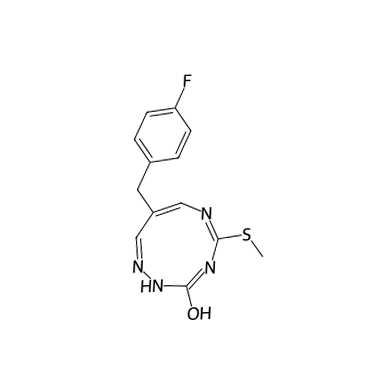 CSc1ncc(Cc2ccc(F)cc2)cn[nH]c(O)n1